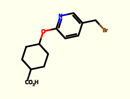 O=C(O)C1CCC(Oc2ccc(CBr)cn2)CC1